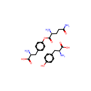 NC(=O)CC[C@H](N)C(=O)Oc1ccc(C[C@H](N)C(=O)O)cc1.N[C@@H](Cc1ccc(O)cc1)C(=O)O